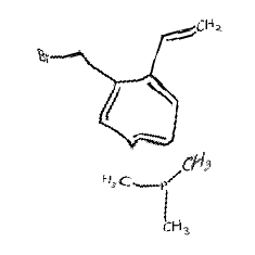 C=Cc1ccccc1CBr.CP(C)C